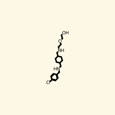 OCCOCCNCC1CCC(CNCc2ccc(Cl)cc2)CC1